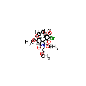 COCCCn1c(C(=O)OC)c(-c2cc(Br)c(OC)c(OC)c2)c2cc(OC)c(OC)cc2c1=O